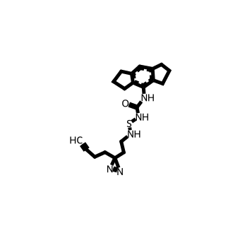 C#CCCC1(CCNSNC(=O)Nc2c3c(cc4c2CCC4)CCC3)N=N1